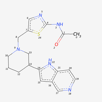 CC(=O)Nc1ncc(CN2CCCC(c3cc4cnccc4[nH]3)C2)s1